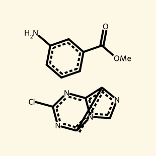 COC(=O)c1cccc(N)c1.Clc1nc2c3ncn2c3n1